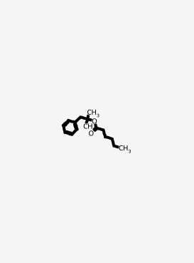 CCCCCC(=O)OC(C)(C)Cc1ccccc1